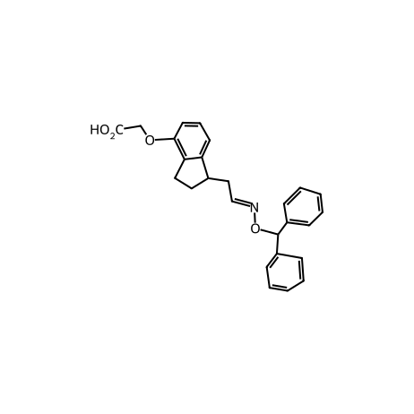 O=C(O)COc1cccc2c1CCC2CC=NOC(c1ccccc1)c1ccccc1